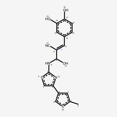 Cc1cc(-c2csc(NC(O)/C(C#N)=C/c3ccc(O)c(O)c3)n2)cs1